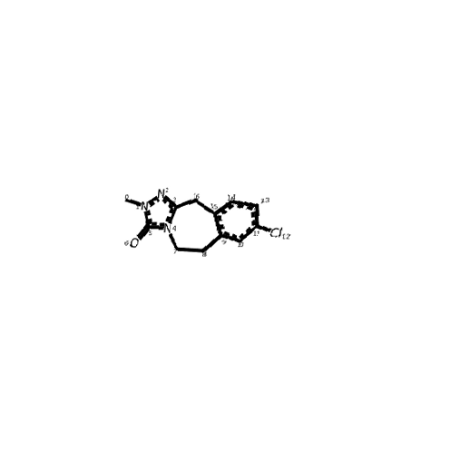 Cn1nc2n(c1=O)CCc1cc(Cl)ccc1C2